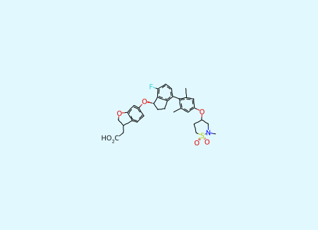 Cc1cc(OC2CCS(=O)(=O)N(C)C2)cc(C)c1-c1ccc(F)c2c1CC[C@H]2Oc1ccc2c(c1)OCC2CC(=O)O